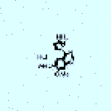 COc1cc2ncnc(-n3ccc(N)n3)c2cc1OC.Cl